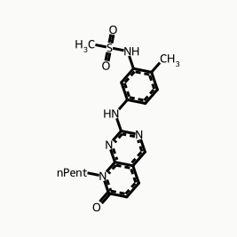 CCCCCn1c(=O)ccc2cnc(Nc3ccc(C)c(NS(C)(=O)=O)c3)nc21